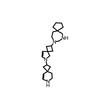 C1=CC2(CCN1)CC(N1C=CC3(CC(N4CCC5(CCCC5)CNC4)C3)C1)C2